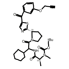 C#CCOc1cccc(C(=O)c2cnc([C@@H]3CCCN3C(=O)C(NC(=O)[C@H](C)N(C)C(=O)OC(C)(C)C)C3CCCCC3)s2)c1